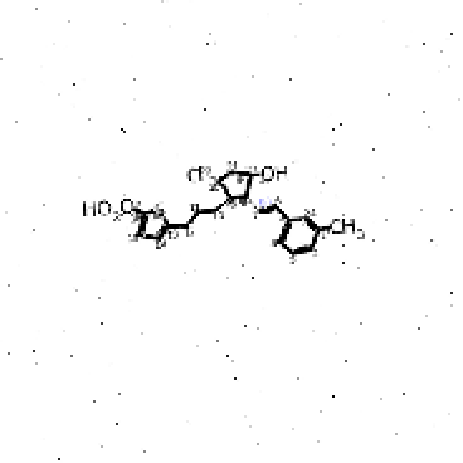 Cc1cccc(/C=C/[C@@H]2[C@@H](CCCc3ccc(C(=O)O)s3)[C@H](Cl)C[C@H]2O)c1